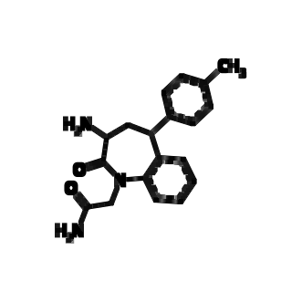 Cc1ccc(C2CC(N)C(=O)N(CC(N)=O)c3ccccc32)cc1